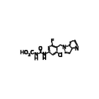 O=C(O)NC(=O)Nc1cc(F)c(Cn2ccc3ncccc32)c(Cl)c1